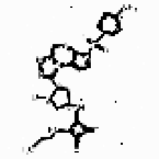 CC[C@@H]1C[C@H](Nc2c(NCCC(F)(F)F)c(=O)c2=O)C[C@@H]1c1nnc2cnc3c(ccn3S(=O)(=O)c3ccc(C)cc3)n12